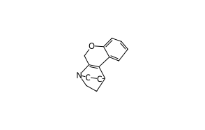 c1ccc2c(c1)OCC1=C2C2CCN1CC2